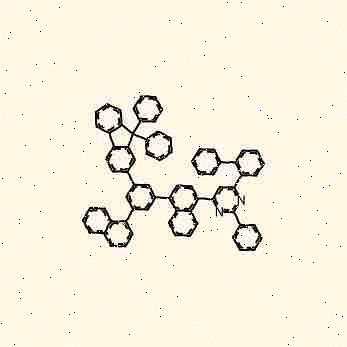 c1ccc(-c2nc(-c3ccccc3-c3ccccc3)cc(-c3ccc(-c4cc(-c5ccc6c(c5)C(c5ccccc5)(c5ccccc5)c5ccccc5-6)cc(-c5cccc6ccccc56)c4)c4ccccc34)n2)cc1